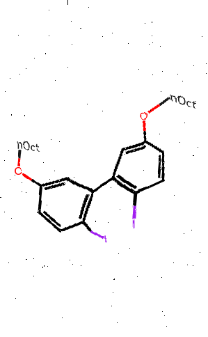 CCCCCCCCOc1ccc(I)c(-c2cc(OCCCCCCCC)ccc2I)c1